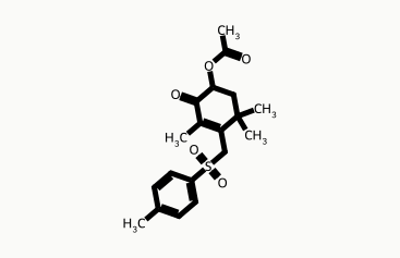 CC(=O)OC1CC(C)(C)C(CS(=O)(=O)c2ccc(C)cc2)=C(C)C1=O